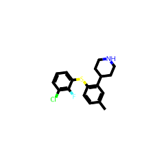 Cc1ccc(Sc2cccc(Cl)c2F)c(C2CCNCC2)c1